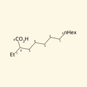 [CH2]CCCCCCCCCCC(CC)C(=O)O